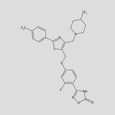 O=c1[nH]c(-c2ccc(OCc3sc(-c4ccc(C(F)(F)F)cc4)nc3CN3CCC(C(F)(F)F)CC3)cc2F)no1